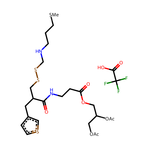 CSCCCNCSSCC(Cc1ccsc1)C(=O)NCCC(=O)OCC(COC(C)=O)OC(C)=O.O=C(O)C(F)(F)F